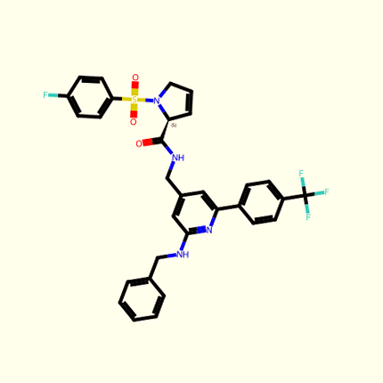 O=C(NCc1cc(NCc2ccccc2)nc(-c2ccc(C(F)(F)F)cc2)c1)[C@@H]1C=CCN1S(=O)(=O)c1ccc(F)cc1